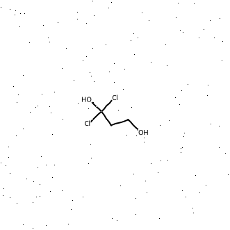 OCCC(O)(Cl)Cl